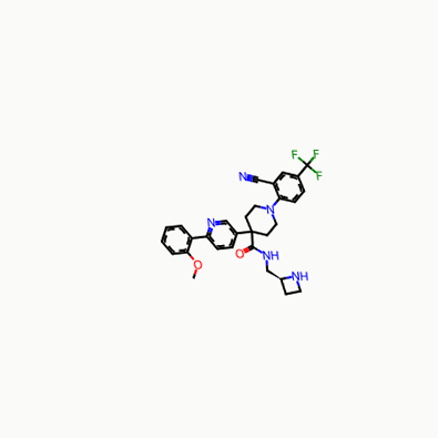 COc1ccccc1-c1ccc(C2(C(=O)NC[C@@H]3CCN3)CCN(c3ccc(C(F)(F)F)cc3C#N)CC2)cn1